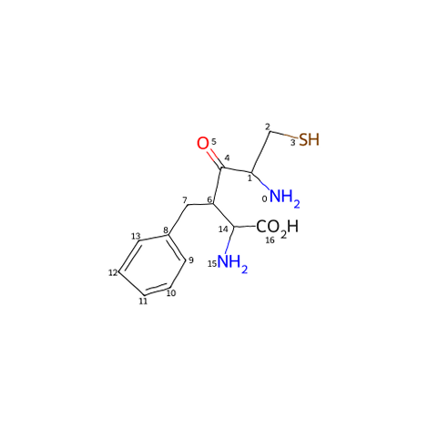 NC(CS)C(=O)C(Cc1ccccc1)C(N)C(=O)O